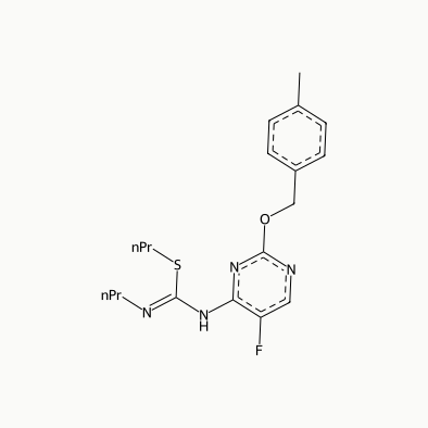 CCC/N=C(/Nc1nc(OCc2ccc(C)cc2)ncc1F)SCCC